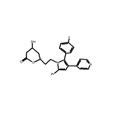 CC(C)c1cc(-c2ccncc2)c(-c2ccc(F)cc2)n1CCC1CC(O)CC(=O)O1